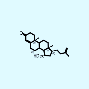 C=C(C)CC[C@H]1CCC2C3C(CC[C@@]21C)[C@@]1(C)CCC(=O)C=C1C[C@H]3CCCCCCCCCC